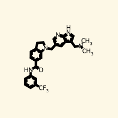 CN(C)Cc1c[nH]c2ncc(CN3CCc4ccc(C(=O)Nc5cccc(C(F)(F)F)c5)cc43)cc12